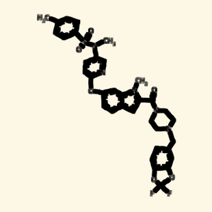 Cc1ccc(S(=O)(=O)N(C)c2ccc(Oc3ccc4cc(C(=O)N5CCN(Cc6ccc7c(c6)OC(F)(F)O7)CC5)n(C)c4c3)nc2)cc1